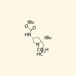 C#CC[C@]1(C(C)(C)C)C[C@@H](NC(=O)OC(C)(C)C)CN1C(=O)O